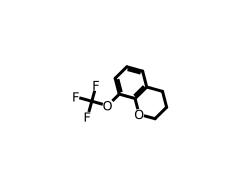 FC(F)(F)Oc1cccc2c1OCCC2